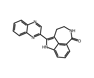 O=C1NCCc2c(-c3cnc4ccccc4n3)[nH]c3cccc1c23